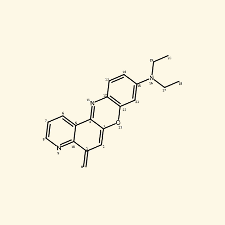 C=c1cc2c(c3cccnc13)=Nc1ccc(N(CC)CC)cc1O2